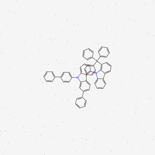 c1ccc(-c2ccc(-n3c4cc(-c5ccccc5)ccc4c4c(-n5c6ccccc6c6cccc([Si](c7ccccc7)(c7ccccc7)c7ccccc7)c65)cccc43)cc2)cc1